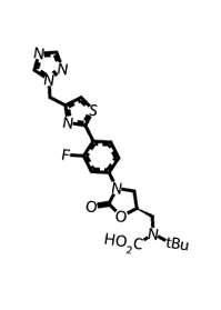 CC(C)(C)N(C[C@@H]1CN(c2ccc(-c3nc(Cn4cncn4)cs3)c(F)c2)C(=O)O1)C(=O)O